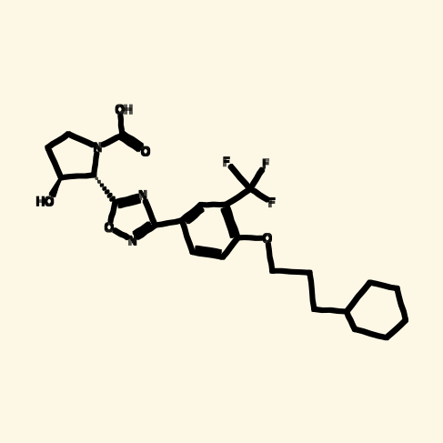 O=C(O)N1CC[C@H](O)[C@H]1c1nc(-c2ccc(OCCCC3CCCCC3)c(C(F)(F)F)c2)no1